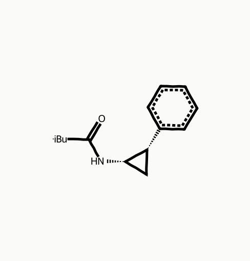 CC[C](C)C(=O)N[C@H]1C[C@H]1c1ccccc1